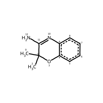 CC1(C)Oc2cc[c]cc2N=C1N